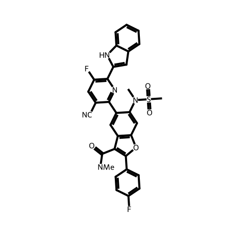 CNC(=O)c1c(-c2ccc(F)cc2)oc2cc(N(C)S(C)(=O)=O)c(-c3nc(-c4cc5ccccc5[nH]4)c(F)cc3C#N)cc12